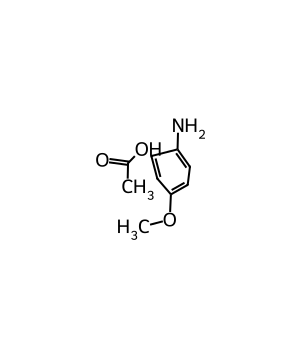 CC(=O)O.COc1ccc(N)cc1